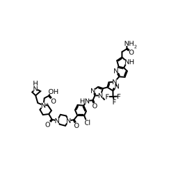 Cn1c(-c2cn(-c3ccc4[nH]c(CC(N)=O)cc4n3)nc2C(F)(F)F)cnc1C(=O)Nc1ccc(C(=O)N2CCN(C(=O)C3CC[N+](CC(=O)O)(CC4CNC4)CC3)CC2)c(Cl)c1